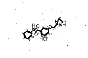 Cl.O=S(=O)(Nc1ccccc1)c1cccc(OCC2=NCCN2)c1